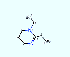 CC(C)CC1=NCCCN1CC(C)C